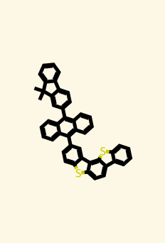 CC1(C)c2ccccc2-c2ccc(-c3c4ccccc4c(-c4ccc5sc6ccc7c8ccccc8sc7c6c5c4)c4ccccc34)cc21